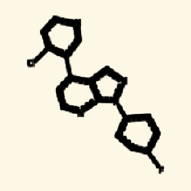 Fc1ccc(-n2ncc3c(-c4cnccc4Cl)ccnc32)cc1